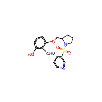 O=Cc1c(O)cccc1OCC1CCCN1S(=O)(=O)c1cccnc1